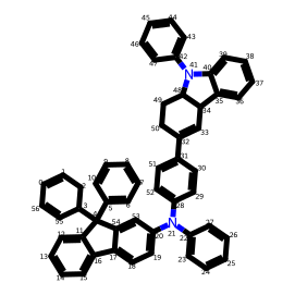 C1=CCC(C2(c3ccccc3)c3ccccc3-c3ccc(N(c4ccccc4)c4ccc(C5=CC6c7ccccc7N(c7ccccc7)C6CC5)cc4)cc32)C=C1